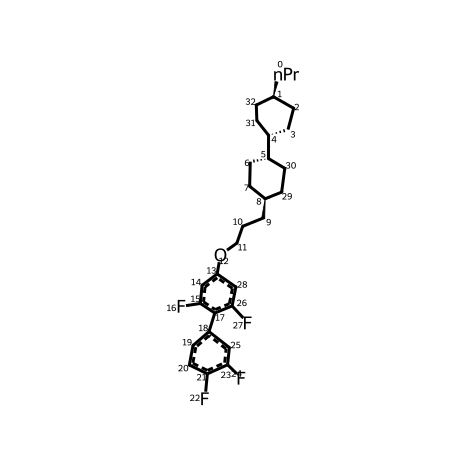 CCC[C@H]1CC[C@H]([C@H]2CC[C@H](CCCOc3cc(F)c(-c4ccc(F)c(F)c4)c(F)c3)CC2)CC1